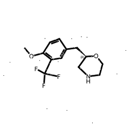 COc1ccc(C[C@@H]2CNCCO2)cc1C(F)(F)F